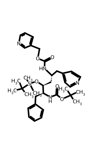 CC(C)(C)OC(=O)N[C@@H](Cc1ccccc1)[C@H](C[C@@H](Cc1ccncc1)NC(=O)OCc1cccnc1)O[Si](C)(C)C(C)(C)C